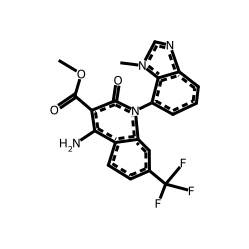 COC(=O)c1c(N)c2ccc(C(F)(F)F)cc2n(-c2cccc3ncn(C)c23)c1=O